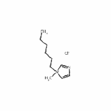 CCCCCC[N+]1(C)C=CN=C1.[Cl-]